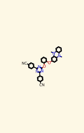 CN1c2ccccc2N(C)c2cc(Oc3ccccc3Oc3nc(-c4ccc(C#N)cc4)nc(-c4ccc(C#N)cc4)n3)ccc21